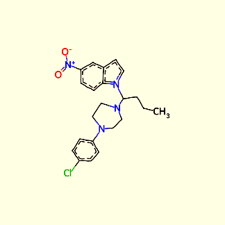 CCCC(N1CCN(c2ccc(Cl)cc2)CC1)n1ccc2cc([N+](=O)[O-])ccc21